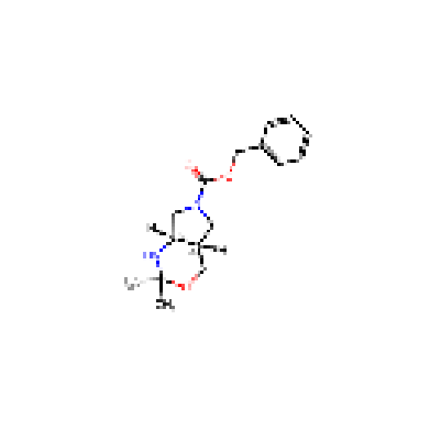 CC1(C)N[C@@H]2CN(C(=O)OCc3ccccc3)C[C@@H]2CO1